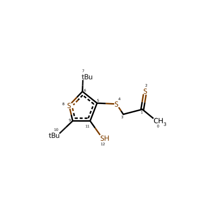 CC(=S)CSc1c(C(C)(C)C)sc(C(C)(C)C)c1S